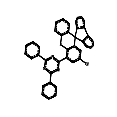 Clc1cc(-c2nc(-c3ccccc3)nc(-c3ccccc3)n2)c2c(c1)C1(c3ccccc3S2)c2ccccc2-c2ccccc21